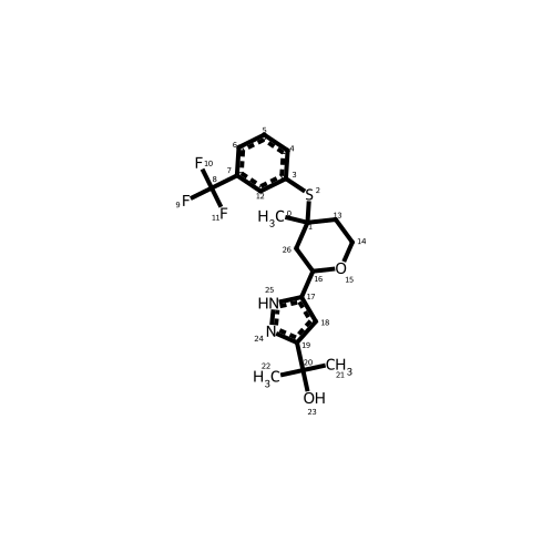 CC1(Sc2cccc(C(F)(F)F)c2)CCOC(c2cc(C(C)(C)O)n[nH]2)C1